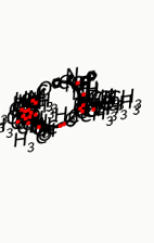 CCCN(C(=O)[C@@H](NC(=O)[C@H](C)N(C)C(=O)OC(C)(C)C)C(C)(C)C)[C@@H]1C(=O)N[C@@H](Cc2ccc3ccccc3c2)C(=O)NC(C#N)Cc2ccc(cc2)OCC2=CN(NN2)[C@@H]2CCN(C(=O)[C@@H](NC(=O)[C@H](C)N(C)C(=O)OC(C)(C)C)C(C)(C)C)[C@@H]2C(=O)N[C@@H](Cc2ccc3ccccc3c2)C(=O)N[C@H](C(=O)OC)Cc2ccc(cc2)OCc2cn1nn2